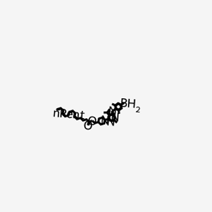 Bc1cc(C)c(-n2cc(C)c3c(N4CCC(COC(=O)CCC/C=C\C/C=C\C/C=C\C/C=C\CCCCC)CC4)nc(C)nc32)c(C)c1